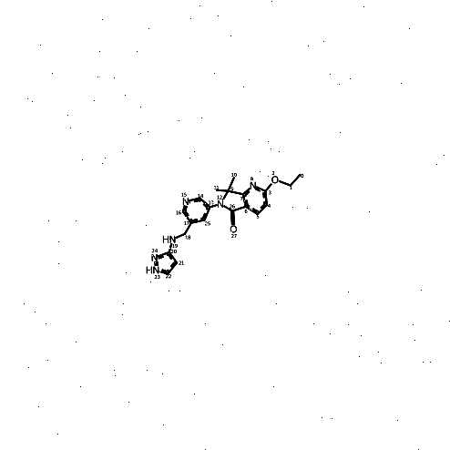 CCOc1ccc2c(n1)C(C)(C)N(c1cncc(CNc3cc[nH]n3)c1)C2=O